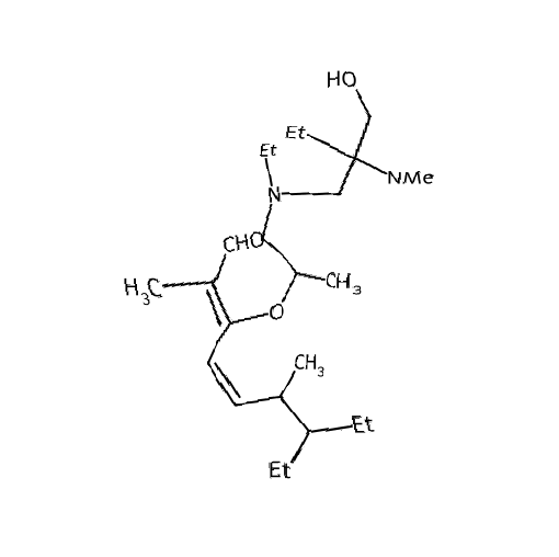 CCC(CC)C(C)/C=C\C(OC(C)CN(CC)CC(CC)(CO)NC)=C(/C)C=O